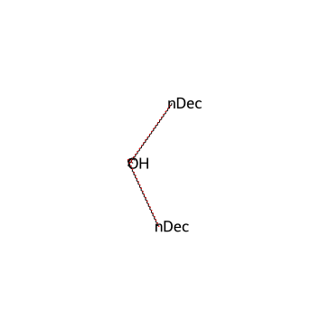 CCCCCCCCCCCCCCCCCCCCCCCCCCCCCCCCCCCCCCCCCCCCCCCCC(C)c1cccc(C(C)CCCCCCCCCCCCCCCCCCCCCCCCCCCCCCCCCCCCCCCCCCCCCCCC)c1O